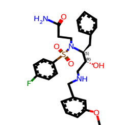 COc1cccc(CNC[C@@H](O)[C@H](Cc2ccccc2)N(CCC(N)=O)S(=O)(=O)c2ccc(F)cc2)c1